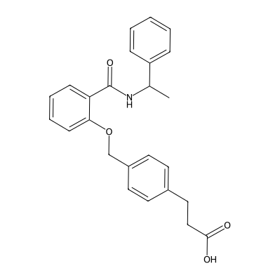 CC(NC(=O)c1ccccc1OCc1ccc(CCC(=O)O)cc1)c1ccccc1